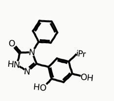 CC(C)c1cc(-c2n[nH]c(=O)n2-c2ccccc2)c(O)cc1O